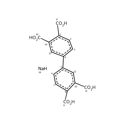 O=C(O)c1ccc(-c2ccc(C(=O)O)c(C(=O)O)c2)cc1C(=O)O.[NaH]